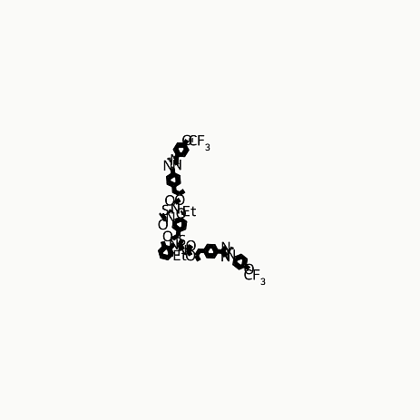 CCOc1ccc(C2S/C(=N\C(=O)OC(C)Cc3ccc(-c4ncn(-c5ccc(OC(F)(F)F)cc5)n4)cc3)N(c3c(C)cccc3CC)C2=O)cc1N1C(=O)CS/C1=N\C(=O)OC(C)Cc1ccc(-c2ncn(-c3ccc(OC(F)(F)F)cc3)n2)cc1